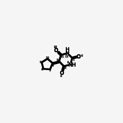 O=C1NC(=O)C(=C2CCCC2)C(=O)N1